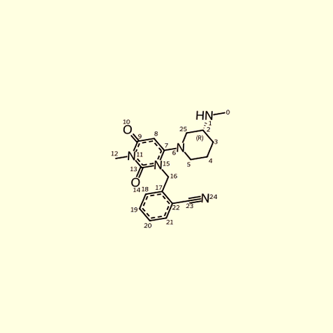 CN[C@@H]1CCCN(c2cc(=O)n(C)c(=O)n2Cc2ccccc2C#N)C1